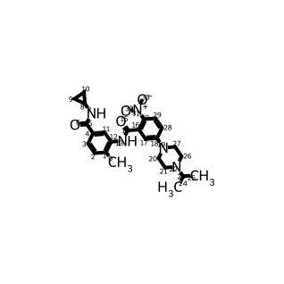 Cc1ccc(C(=O)NC2CC2)cc1NC(=O)c1cc(N2CCN(C(C)C)CC2)ccc1[N+](=O)[O-]